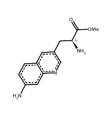 COC(=O)[C@@H](N)Cc1cnc2cc(N)ccc2c1